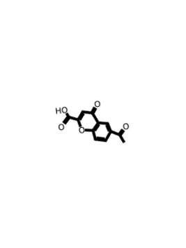 CC(=O)c1ccc2oc(C(=O)O)cc(=O)c2c1